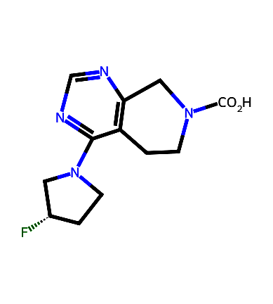 O=C(O)N1CCc2c(ncnc2N2CC[C@H](F)C2)C1